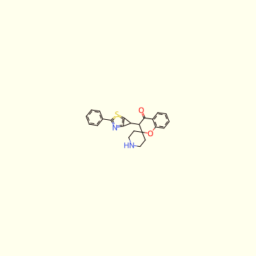 O=C1c2ccccc2OC2(CCNCC2)C1C1c2nc(-c3ccccc3)sc21